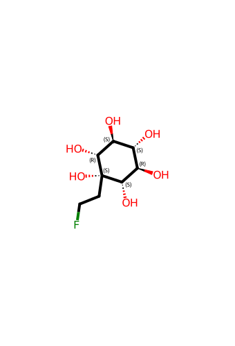 O[C@@H]1[C@@H](O)[C@H](O)[C@@](O)(CCF)[C@H](O)[C@H]1O